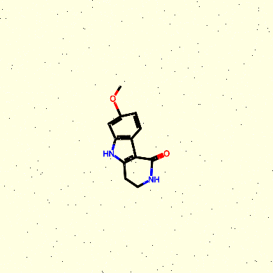 COc1ccc2c3c([nH]c2c1)CCNC3=O